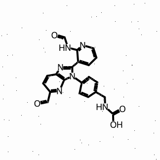 O=CNc1ncccc1-c1nc2ccc(C=O)nc2n1-c1ccc(CNC(=O)O)cc1